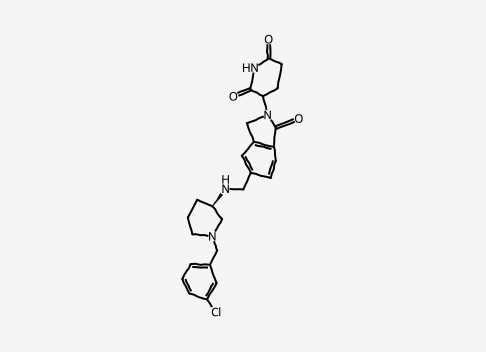 O=C1CCC(N2Cc3cc(CN[C@@H]4CCCN(Cc5cccc(Cl)c5)C4)ccc3C2=O)C(=O)N1